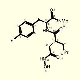 CNC(=O)[C@H](Cc1ccc(I)cc1)NC(=O)[C@@H](CC(=O)NO)CC(C)C